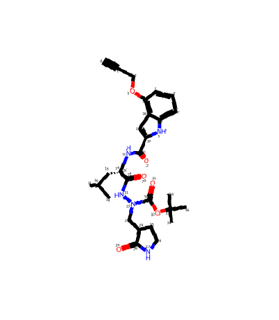 C#CCOc1cccc2[nH]c(C(=O)N[C@@H](CC(C)C)C(=O)NN(CC3CCNC3=O)C(=O)OC(C)(C)C)cc12